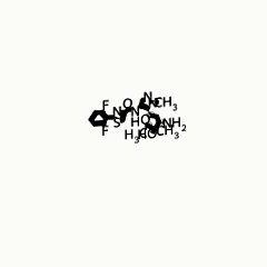 C[C@@H]1O[C@H](c2c(NC(=O)c3csc(-c4c(F)cccc4F)n3)cnn2C)C[C@H](N)[C@@]1(C)O